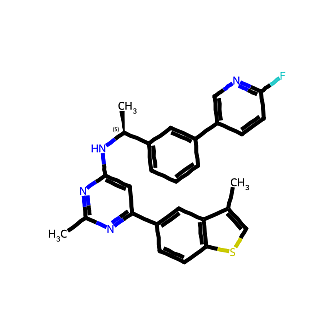 Cc1nc(N[C@@H](C)c2cccc(-c3ccc(F)nc3)c2)cc(-c2ccc3scc(C)c3c2)n1